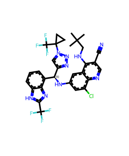 CC(C)(C)CNc1c(C#N)cnc2c(Cl)cc(N[C@H](c3cn(C4(C(F)(F)F)CC4)nn3)c3cccc4[nH]c(C(F)(F)F)nc34)cc12